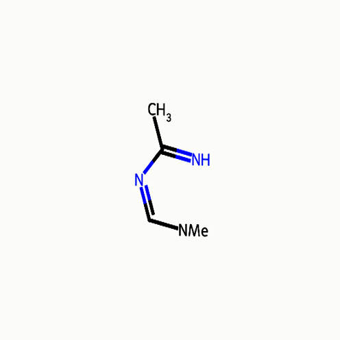 CN/C=N\C(C)=N